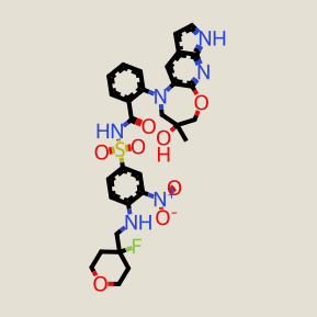 CC1(O)COc2nc3[nH]ccc3cc2N(c2ccccc2C(=O)NS(=O)(=O)c2ccc(NCC3(F)CCOCC3)c([N+](=O)[O-])c2)C1